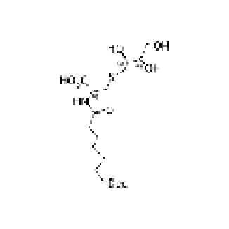 CCCCCCCCCCCCCCCC(=O)N[C@@H](CSC[C@@H](O)[C@H](O)CO)C(=O)O